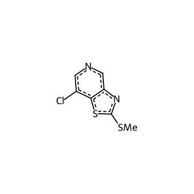 CSc1nc2cncc(Cl)c2s1